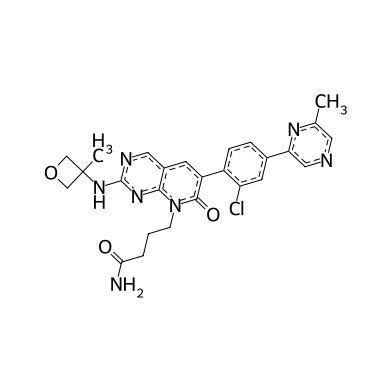 Cc1cncc(-c2ccc(-c3cc4cnc(NC5(C)COC5)nc4n(CCCC(N)=O)c3=O)c(Cl)c2)n1